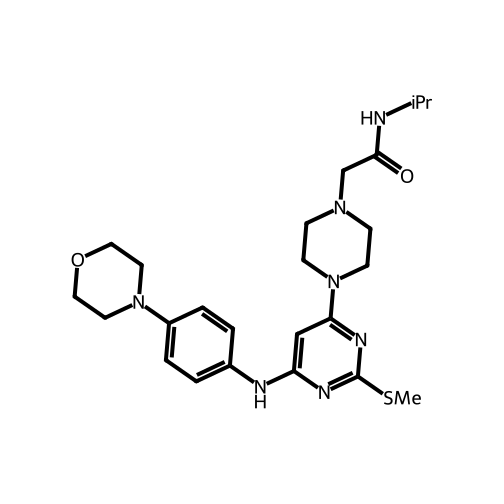 CSc1nc(Nc2ccc(N3CCOCC3)cc2)cc(N2CCN(CC(=O)NC(C)C)CC2)n1